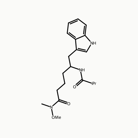 CON(C)C(=O)CCCC(Cc1c[nH]c2ccccc12)NC(=O)C(C)C